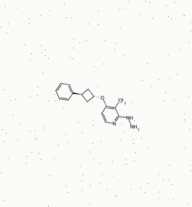 NNc1nccc(O[C@H]2C[C@H](c3ccccc3)C2)c1C(F)(F)F